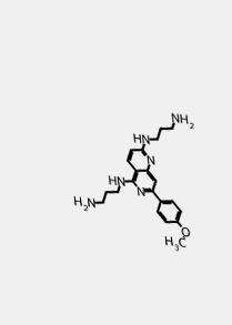 COc1ccc(-c2cc3nc(NCCCN)ccc3c(NCCCN)n2)cc1